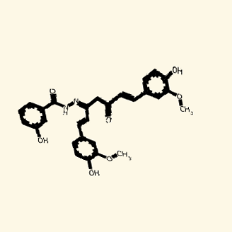 COc1cc(/C=C/C(=O)CC(/C=C/c2ccc(O)c(OC)c2)=N/NC(=O)c2cccc(O)c2)ccc1O